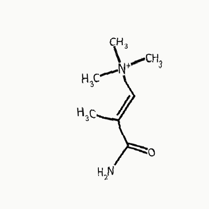 C/C(=C\[N+](C)(C)C)C(N)=O